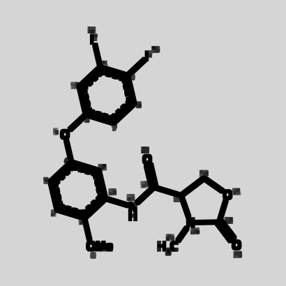 COc1ccc(Oc2ccc(F)c(F)c2)cc1NC(=O)C1COC(=O)N1C